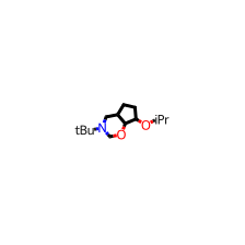 CC(C)OC1CCC2CN(C(C)(C)C)COC21